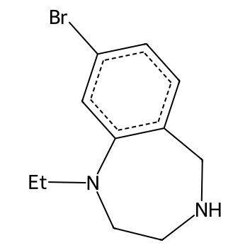 CCN1CCNCc2ccc(Br)cc21